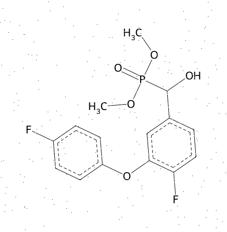 COP(=O)(OC)C(O)c1ccc(F)c(Oc2ccc(F)cc2)c1